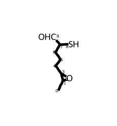 CC1OC1CCCC(S)C=O